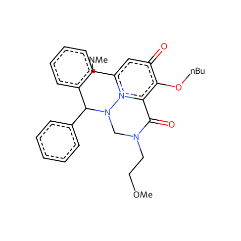 CCCCOc1c2n(c(CNC)cc1=O)N(C(c1ccccc1)c1ccccc1)CN(CCOC)C2=O